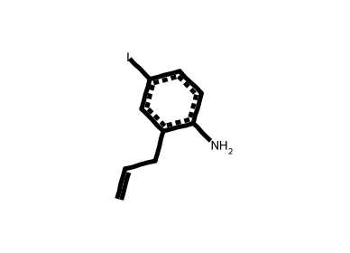 C=CCc1cc(I)ccc1N